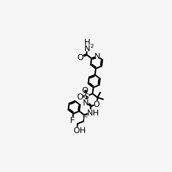 CC1(C)OC(N[C@@H](CCO)c2ccccc2F)=NS(=O)(=O)C1c1ccc(-c2ccnc(C(N)=O)c2)cc1